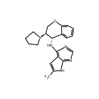 FC(F)(F)c1cc2c(N[C@H]3c4ccccc4OC[C@@H]3N3CCCC3)ncnc2[nH]1